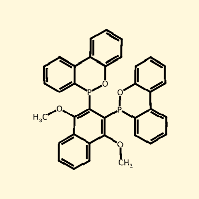 COc1c(P2Oc3ccccc3-c3ccccc32)c(P2Oc3ccccc3-c3ccccc32)c(OC)c2ccccc12